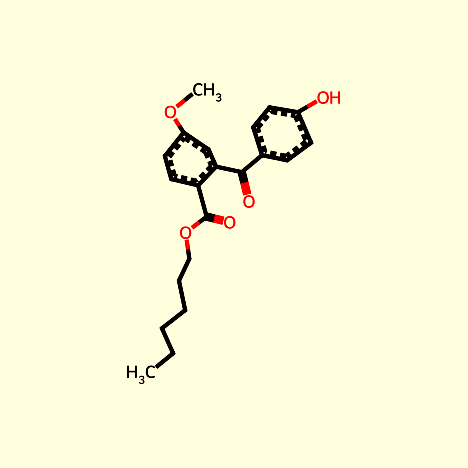 CCCCCCOC(=O)c1ccc(OC)cc1C(=O)c1ccc(O)cc1